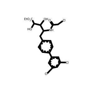 CCOC(=O)C(O)C(O)C(Cc1ccc(-c2cc(Cl)cc(Cl)c2)cc1)NC(=O)CCl